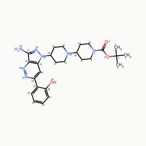 CC(C)(C)OC(=O)N1CCC(N2CCC(n3nc(N)c4nnc(-c5ccccc5O)cc43)CC2)CC1